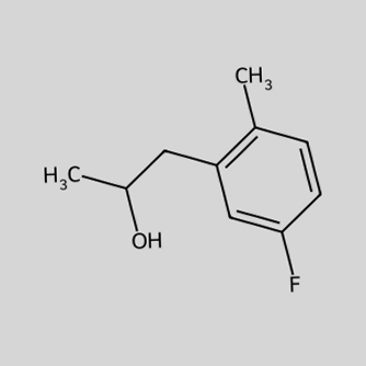 Cc1ccc(F)cc1CC(C)O